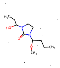 CCCC(OC)N1CCN(C(O)CC)C1=O